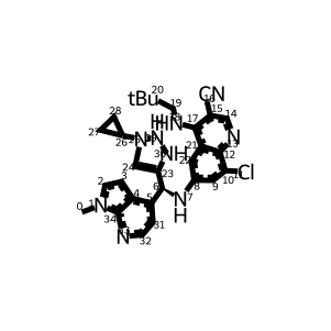 Cn1ccc2c([C@H](Nc3cc(Cl)c4ncc(C#N)c(NCC(C)(C)C)c4c3)C3=CN(C4CC4)NN3)ccnc21